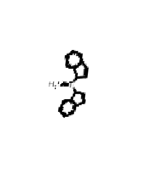 [SiH2]=[Ti]([CH]1C=Cc2ccccc21)[CH]1C=Cc2ccccc21